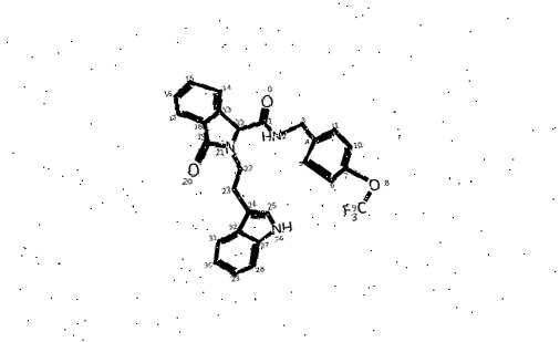 O=C(NCc1ccc(OC(F)(F)F)cc1)C1c2ccccc2C(=O)N1CCc1c[nH]c2ccccc12